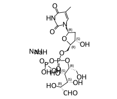 Cc1cn([C@H]2C[C@H](O)[C@@H](COP(=O)(O[C@H](CO)[C@@H](O)[C@H](O)[C@@H](O)C=O)OP(=O)(O)O)O2)c(=O)[nH]c1=O.[NaH].[NaH]